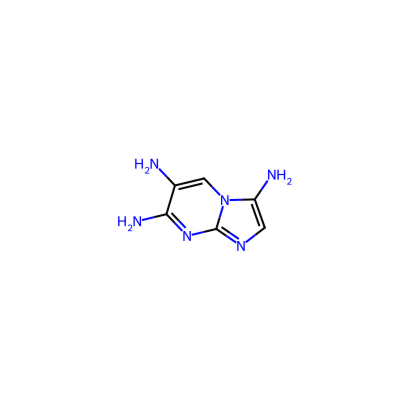 Nc1cn2c(N)cnc2nc1N